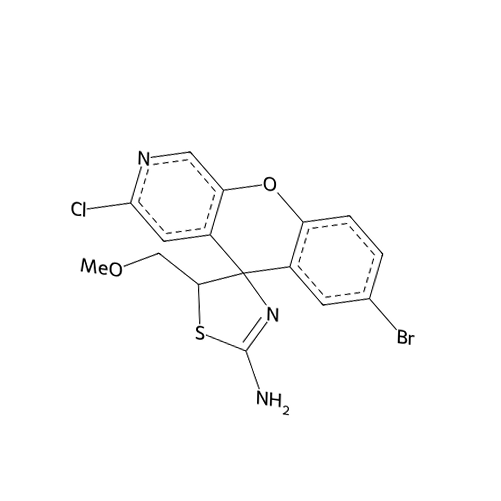 COCC1SC(N)=NC12c1cc(Br)ccc1Oc1cnc(Cl)cc12